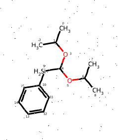 CC(C)OC(OC(C)C)[SiH2]c1ccccc1